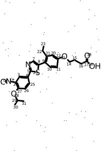 [C-]#[N+]c1cc(-c2ncc(-c3ccc(OCCCC(=O)O)cc3CC)s2)ccc1OC(C)C